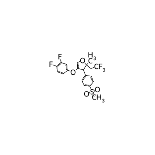 CC1(CC(F)(F)F)OC=C(Oc2ccc(F)c(F)c2)C1c1ccc(S(C)(=O)=O)cc1